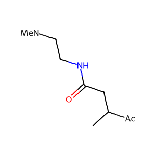 CNCCNC(=O)CC(C)C(C)=O